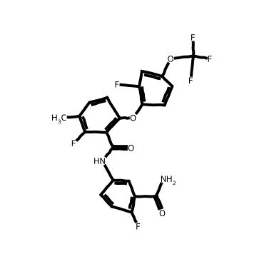 Cc1ccc(Oc2ccc(OC(F)(F)F)cc2F)c(C(=O)Nc2ccc(F)c(C(N)=O)c2)c1F